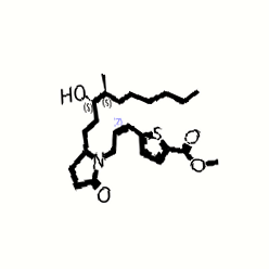 CCCCCC[C@H](C)[C@@H](O)CCC1CCC(=O)N1C/C=C\c1ccc(C(=O)OC)s1